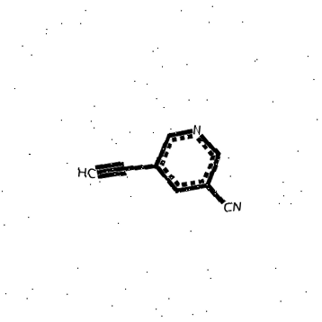 C#Cc1cncc(C#N)c1